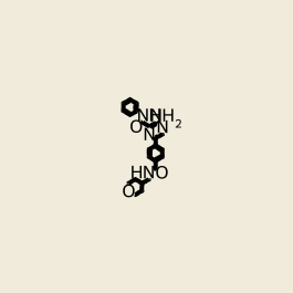 Nc1ncc(-c2ccc(C(=O)NCC3CCOCC3)cc2)nc1C(=O)Nc1ccccc1